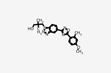 COc1ccc(-c2nc(-c3ccc4c(c3)nnn4CC(C)(C)CO)no2)c(C)c1